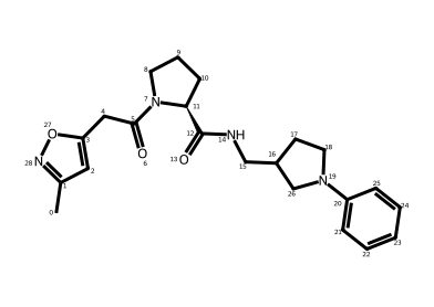 Cc1cc(CC(=O)N2CCC[C@H]2C(=O)NCC2CCN(c3ccccc3)C2)on1